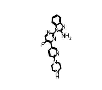 Nc1nc2ccccc2n1-c1ncc(F)c(-c2ccc(N3CCNCC3)nc2)n1